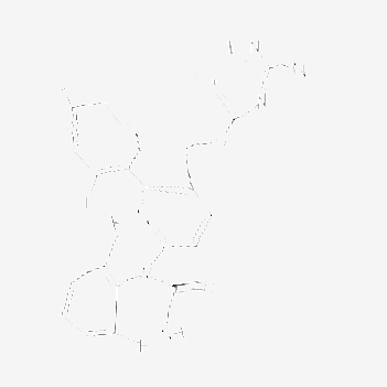 NC(=O)N(c1ccc(COC(=O)N=C(N)N)c(-c2ccc(F)cc2F)n1)c1c(F)cccc1F